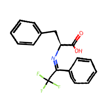 O=C(O)[C@H](Cc1ccccc1)/N=C(\c1ccccc1)C(F)(F)F